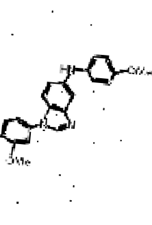 COc1ccc(Nc2ccc3c(c2)ncn3-c2cccc(OC)c2)cc1